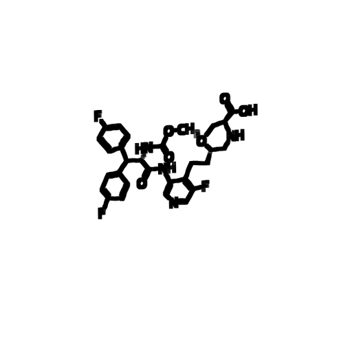 COC(=O)N[C@H](C(=O)Nc1cncc(F)c1CC[C@@H]1CN[C@H](C(=O)O)CO1)C(c1ccc(F)cc1)c1ccc(F)cc1